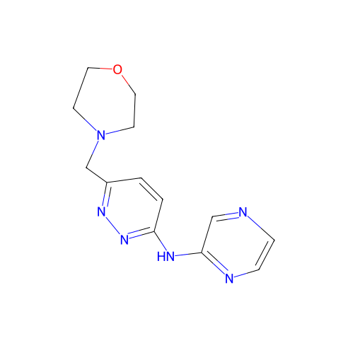 c1cnc(Nc2ccc(CN3CCOCC3)nn2)cn1